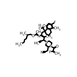 C#CC(/C(C)=C(CC1(C(C)=O)CCCc2c1ccc(F)c2C)\N=C(/C)OC[C@@H](C)CCCC)N1CCN(C(=O)C(=C)F)C(CC#N)C1